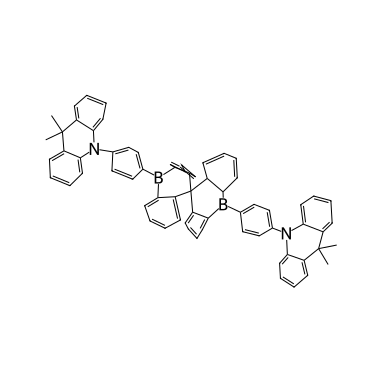 CC1(C)c2ccccc2N(c2ccc(B3c4ccccc4C4(c5ccccc5B(c5ccc(N6c7ccccc7C(C)(C)c7ccccc76)cc5)C5C=CC=CC54)C4C=CC=CC34)cc2)c2ccccc21